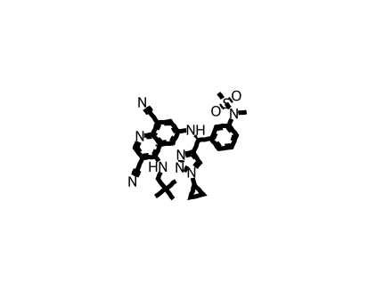 CN(c1cccc([C@H](Nc2cc(C#N)c3ncc(C#N)c(NCC(C)(C)C)c3c2)c2cn(C3CC3)nn2)c1)S(C)(=O)=O